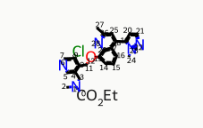 CCOC(=O)N(C)Cc1cncc(Cl)c1COc1cccc2c(-c3ccnn3C)cc(C)nc12